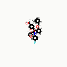 COC(=O)c1ccc(-c2c(C3(O)CCOC3)n(-c3ccc(F)cc3)c3cccc(OCc4ccccc4)c23)cc1